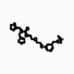 CN(C)NCc1cccc(OCCOCCOC(=O)N(Cc2cccs2)Cc2cccs2)c1